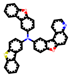 c1ccc2c(c1)oc1ccc(N(c3ccc4sc5ccccc5c4c3)c3ccc4oc5ccc6ncccc6c5c4c3)cc12